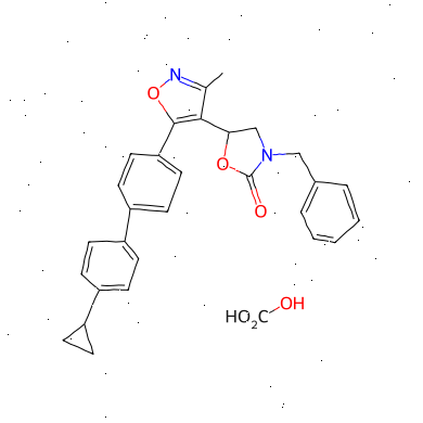 Cc1noc(-c2ccc(-c3ccc(C4CC4)cc3)cc2)c1C1CN(Cc2ccccc2)C(=O)O1.O=C(O)O